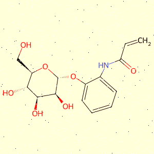 C=CC(=O)Nc1ccccc1O[C@H]1O[C@H](CO)[C@@H](O)[C@H](O)[C@@H]1O